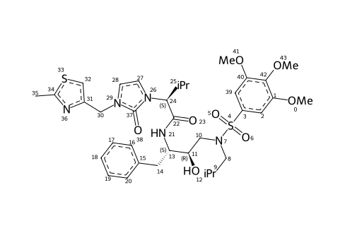 COc1cc(S(=O)(=O)N(CC(C)C)C[C@@H](O)[C@H](Cc2ccccc2)NC(=O)[C@H](C(C)C)n2ccn(Cc3csc(C)n3)c2=O)cc(OC)c1OC